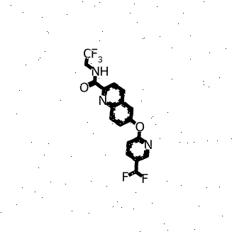 O=C(NCC(F)(F)F)c1ccc2cc(Oc3ccc(C(F)F)cn3)ccc2n1